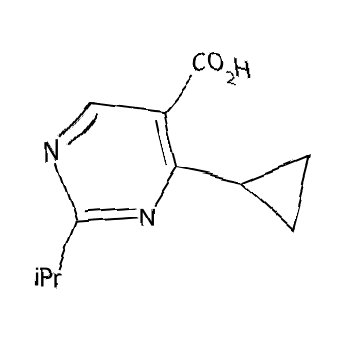 CC(C)c1ncc(C(=O)O)c(C2CC2)n1